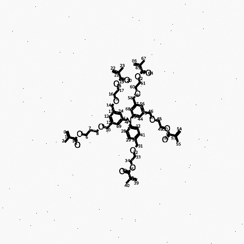 C=C(C)C(=O)OCCCOCc1cc(COCCOC(=O)C(=C)C)cc(N(c2ccc(COCCOC(=O)C(=C)C)cc2)c2cc(COCCOC(=O)C(=C)C)cc(COCCOC(=O)C(=C)C)c2)c1